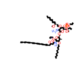 C#CC#CC#CC#CC#CC#CC#CCC(=O)CC(=O)N[C@H]1[C@@H](O/C=C\C)O[C@H](CO[C@@H]2O[C@H](COC)[C@@H](OP(=O)(OCC=C)OCC=C)[C@H](OCC[C@@H](CCCCCCC)OC)[C@H]2N)[C@@H](C)[C@@H]1OCCCCCCCCCC